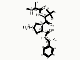 CN[C@@H](C)C(=O)N[C@H](C(=O)N1C[C@@H](N)C[C@H]1C(=O)N[C@H](C)c1ccccc1)C(C)(C)C